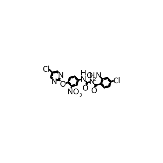 O=C(NC(=O)c1ccc(Cl)cc1[N+](=O)[O-])Nc1ccc(Oc2ncc(Cl)cn2)c([N+](=O)[O-])c1